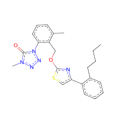 CCCCc1ccccc1-c1csc(OCc2c(C)cccc2-n2nnn(C)c2=O)n1